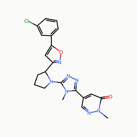 Cn1c(-c2cnn(C)c(=O)c2)nnc1N1CCCC1c1cc(-c2cccc(Cl)c2)on1